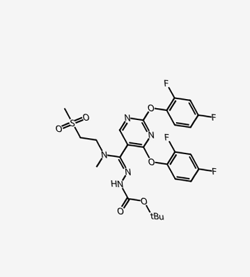 CN(CCS(C)(=O)=O)C(=NNC(=O)OC(C)(C)C)c1cnc(Oc2ccc(F)cc2F)nc1Oc1ccc(F)cc1F